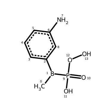 CB(c1cccc(N)c1)P(=O)(O)OO